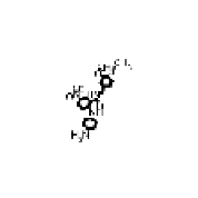 CCOc1ccc(CNC(=O)c2cc([N+](=O)[O-])ccc2N[C@H]2CC[C@H](N)CC2)cc1OC